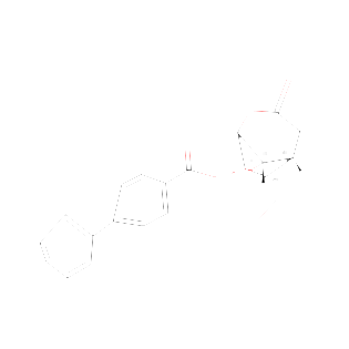 O=C1C[C@@H]2[C@H](CO)[C@H](OC(=O)c3ccc(-c4ccccc4)cc3)C(O1)[C@H]2O